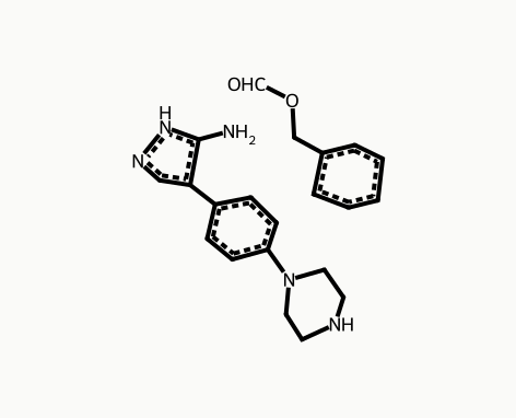 Nc1[nH]ncc1-c1ccc(N2CCNCC2)cc1.O=COCc1ccccc1